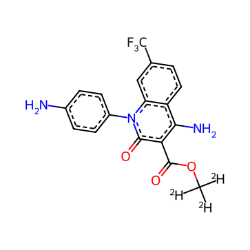 [2H]C([2H])([2H])OC(=O)c1c(N)c2ccc(C(F)(F)F)cc2n(-c2ccc(N)cc2)c1=O